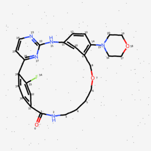 O=C1NCCCCOCc2cc(ccc2N2CCOCC2)Nc2nccc(n2)-c2ccc1cc2F